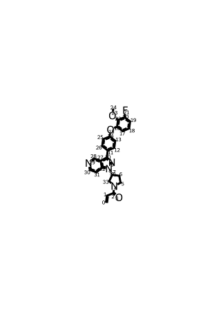 C=CC(=O)N1CC[C@@H](n2nc(-c3ccc(Oc4cccc(F)c4OC)cc3)c3cnccc32)C1